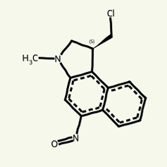 CN1C[C@@H](CCl)c2c1cc(N=O)c1ccccc21